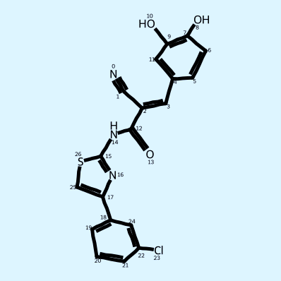 N#C/C(=C\c1ccc(O)c(O)c1)C(=O)Nc1nc(-c2cccc(Cl)c2)cs1